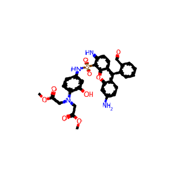 COC(=O)CN(CC(=O)OC)c1ccc(NS(=O)(=O)c2c3oc4cc(N)ccc4c(-c4ccccc4C=O)c-3ccc2=N)cc1O